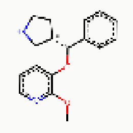 COc1ncccc1OC(c1ccccc1)[C@H]1CCNC1